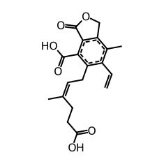 C=Cc1c(C)c2c(c(C(=O)O)c1CC=C(C)CCC(=O)O)C(=O)OC2